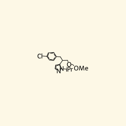 COCOCC(Cc1ccc(Cl)cc1)c1ccnn1C(C)C